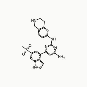 CS(=O)(=O)c1cc(-c2cc(N)nc(Nc3ccc4c(c3)CCNC4)n2)c2cc[nH]c2c1